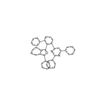 c1ccc(-c2cc(-c3cccc(-c4ccccc4)c3-c3oc(-c4ccccc4)c4ccccc34)nc(-c3ccccc3)n2)cc1